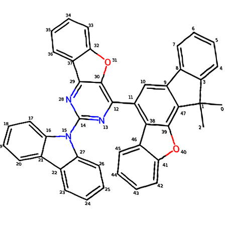 CC1(C)c2ccccc2-c2cc(-c3nc(-n4c5ccccc5c5ccccc54)nc4c3oc3ccccc34)c3c(oc4ccccc43)c21